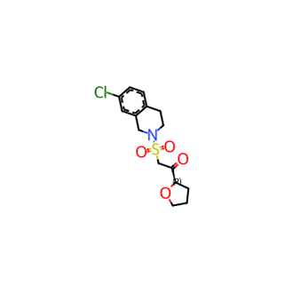 O=C(CS(=O)(=O)N1CCc2ccc(Cl)cc2C1)[C@H]1CCCO1